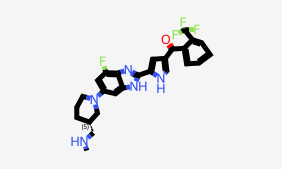 CNC[C@@H]1CCCN(c2cc(F)c3nc(-c4cc(C(=O)c5ccccc5C(F)(F)F)c[nH]4)[nH]c3c2)C1